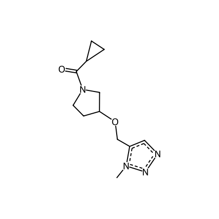 Cn1nncc1COC1CCN(C(=O)C2CC2)C1